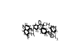 CN(C(=O)c1ccc(Nc2ccnc3ccc(F)cc23)cc1)c1cccc(N(C)c2ccncc2)c1